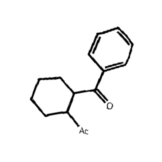 CC(=O)C1CCCCC1C(=O)c1ccccc1